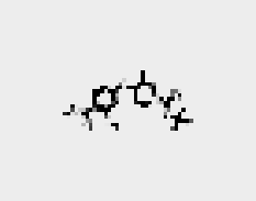 COC(=O)c1ccc(OC2CCN(C(=O)OC(C)(C)C)CC2C)cc1OC